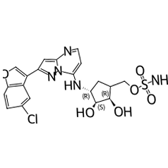 NS(=O)(=O)OCC1C[C@@H](Nc2ccnc3cc(-c4coc5ccc(Cl)cc45)nn23)[C@H](O)[C@@H]1O